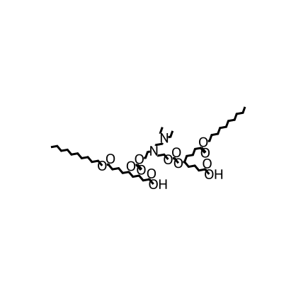 CCCCCCCCCCOC(=O)CCCC(CCCC(=O)O)OC(=O)OCCN(CCOC(=O)OC(CCCC(=O)O)CCCC(=O)OCCCCCCCCCC)CCN(CC)CC